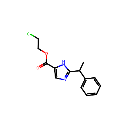 CC(c1ccccc1)c1ncc(C(=O)OCCCl)[nH]1